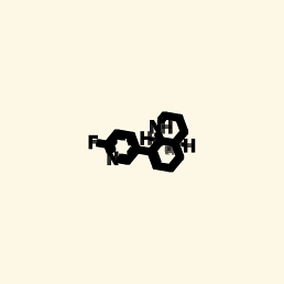 Fc1ccc(C2=CCC[C@@H]3CCCN[C@H]23)cn1